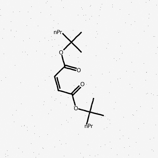 CCCC(C)(C)OC(=O)/C=C\C(=O)OC(C)(C)CCC